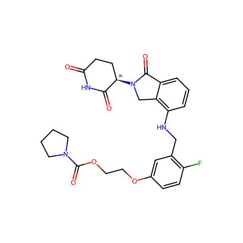 O=C1CC[C@@H](N2Cc3c(NCc4cc(OCCOC(=O)N5CCCC5)ccc4F)cccc3C2=O)C(=O)N1